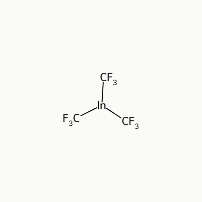 F[C](F)(F)[In]([C](F)(F)F)[C](F)(F)F